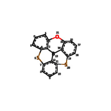 c1cc2c3c(c1)Sc1cccc4c1B3c1c(cccc1S4)O2